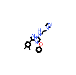 Cc1ccc(-c2cnn3c(NCCCn4ccnc4)cc(Oc4ccccc4)nc23)cc1C